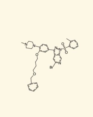 Cc1ccccc1S(=O)(=O)n1nc(-c2ccc(N3CCN(C)CC3)c(OCCCCOCc3ccccc3)c2)c2cc(Br)ncc21